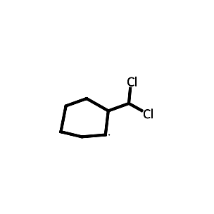 ClC(Cl)C1[CH]CCCC1